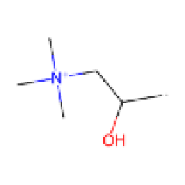 [CH2]C(O)C[N+](C)(C)C